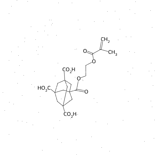 C=C(C)C(=O)OCCOC(=O)C12CC3(C(=O)O)CC(C(=O)O)(CC(C(=O)O)(C3)C1)C2